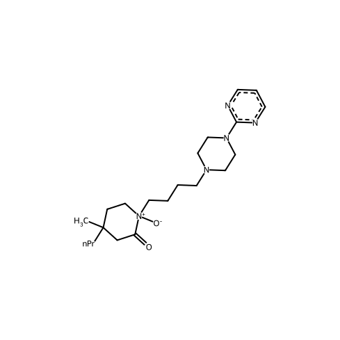 CCCC1(C)CC[N+]([O-])(CCCCN2CCN(c3ncccn3)CC2)C(=O)C1